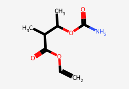 C=COC(=O)C(C)C(C)OC(N)=O